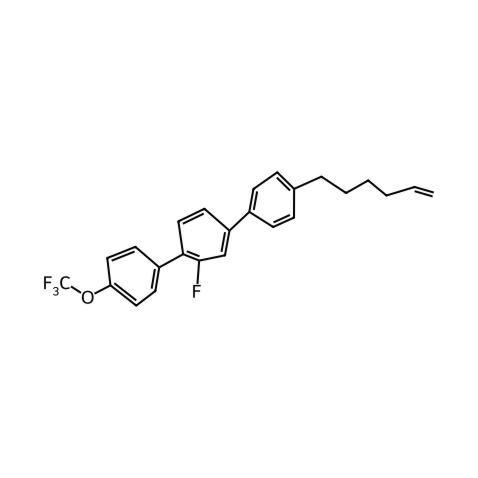 C=CCCCCc1ccc(-c2ccc(-c3ccc(OC(F)(F)F)cc3)c(F)c2)cc1